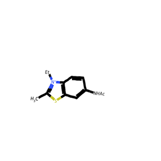 CC[n+]1c(C)sc2cc(NC(C)=O)ccc21